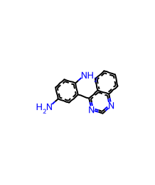 Nc1ccc(N)c(-c2ncnc3ccccc23)c1